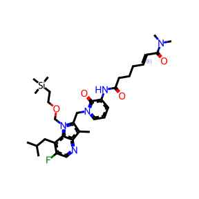 Cc1c(Cn2cccc(NC(=O)CCC/C=C/C(=O)N(C)C)c2=O)n(COCC[Si](C)(C)C)c2c(CC(C)C)c(F)cnc12